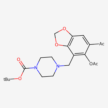 CC(=O)Oc1c(C(C)=O)cc2c(c1CN1CCN(C(=O)OC(C)(C)C)CC1)OCO2